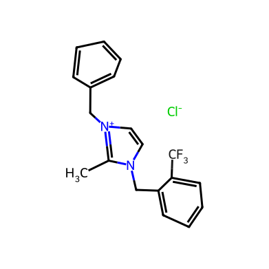 Cc1n(Cc2ccccc2C(F)(F)F)cc[n+]1Cc1ccccc1.[Cl-]